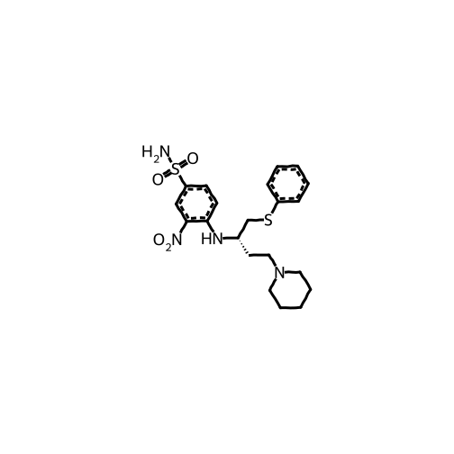 NS(=O)(=O)c1ccc(N[C@@H](CCN2CCCCC2)CSc2ccccc2)c([N+](=O)[O-])c1